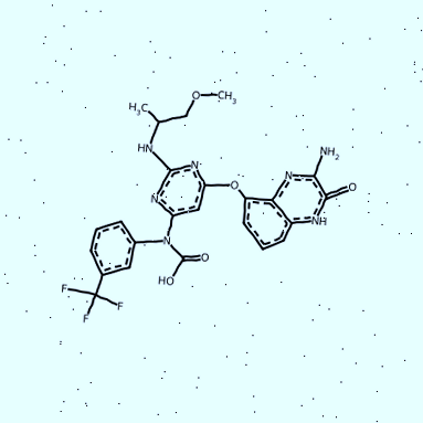 COCC(C)Nc1nc(Oc2cccc3[nH]c(=O)c(N)nc23)cc(N(C(=O)O)c2cccc(C(F)(F)F)c2)n1